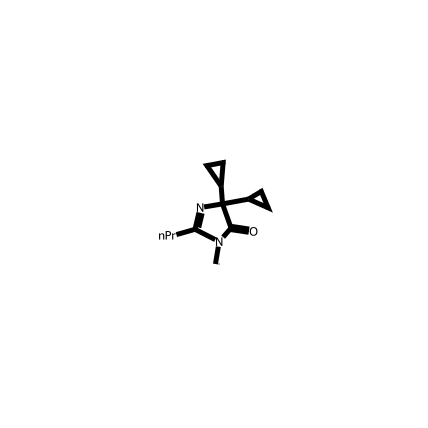 [CH2]N1C(=O)C(C2CC2)(C2CC2)N=C1CCC